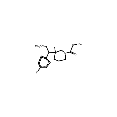 CC(C)(C)OC(=O)N1CCCC(F)(C(CC(=O)O)c2ccc(F)cc2)C1